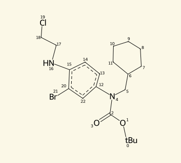 CC(C)(C)OC(=O)N(CC1CCCCC1)c1ccc(NCCCl)c(Br)c1